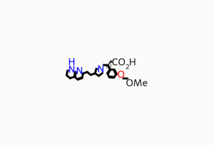 COCCOc1cccc([C@H](CC(=O)O)CN2CCC(CCc3ccc4c(n3)NCCC4)C2)c1